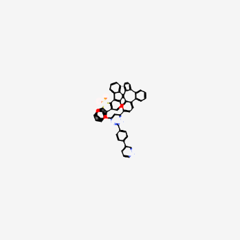 O=S1(=O)c2ccccc2-c2ccc3c(c21)-c1ccccc1C31c2ccccc2-c2ccccc2-c2ccc(-c3cc(-c4ccccc4)nc(-c4ccc(-c5cccnc5)cc4)n3)cc21